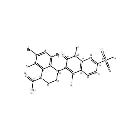 Cc1c(Br)cc(Br)c2c1N(C(=O)O)CCN2c1c(F)c2cnc(S(C)(=O)=O)nc2n(C)c1=O